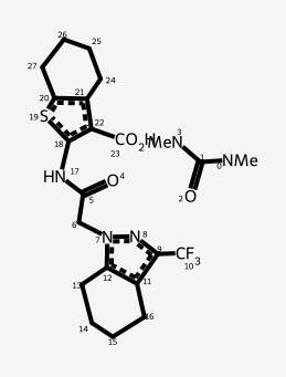 CNC(=O)NC.O=C(Cn1nc(C(F)(F)F)c2c1CCCC2)Nc1sc2c(c1C(=O)O)CCCC2